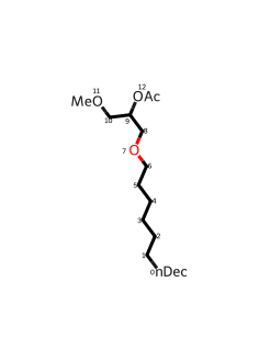 CCCCCCCCCCCCCCCCOCC(COC)OC(C)=O